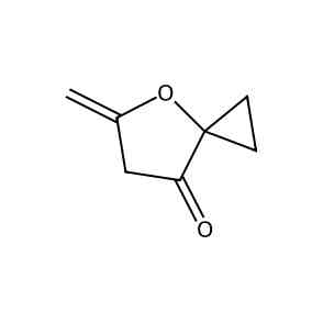 C=C1CC(=O)C2(CC2)O1